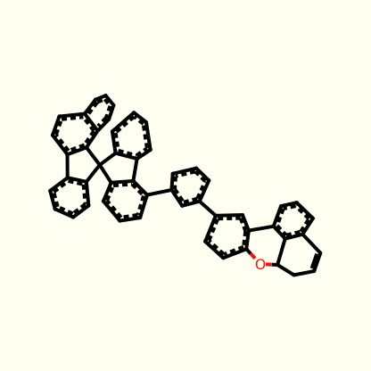 C1=Cc2cccc3c2C(C1)Oc1ccc(-c2cccc(-c4cccc5c4-c4ccccc4C54c5ccccc5-c5ccc6ccccc6c54)c2)cc1-3